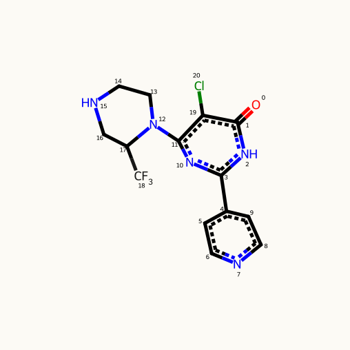 O=c1[nH]c(-c2ccncc2)nc(N2CCNCC2C(F)(F)F)c1Cl